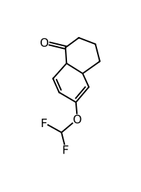 O=C1CCCC2C=C(OC(F)F)C=CC12